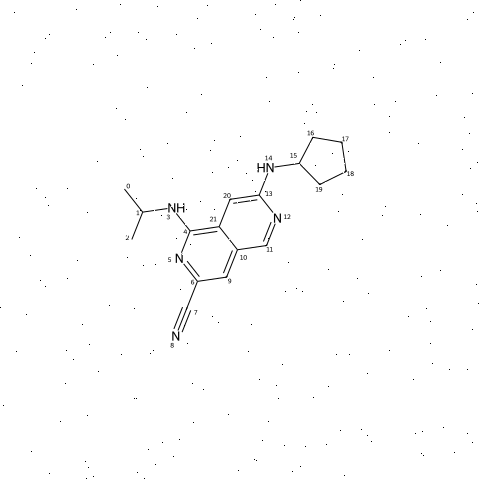 CC(C)Nc1nc(C#N)cc2cnc(NC3CCCC3)cc12